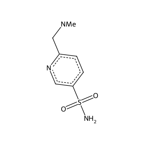 CNCc1ccc(S(N)(=O)=O)cn1